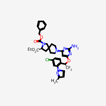 CCOC(=O)[C@@H]1CC2(CCN(c3cc(O[C@@H](c4ccc(Cl)cc4-n4ccc(C)n4)C(F)(F)F)nc(N)n3)CC2)CN1C(=O)OCc1ccccc1